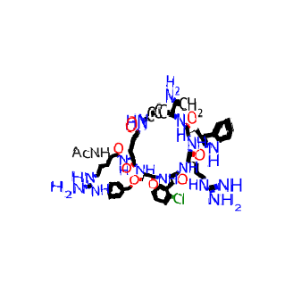 C=C(N)C1CCCNC(=O)CC[C@H](NC(=O)[C@H](CCCNC(=N)N)NC(C)=O)C(=O)N[C@@H](COCc2ccccc2)C(=O)N[C@H](Cc2ccccc2Cl)C(=O)N[C@@H](CCCNC(=N)N)C(=O)N[C@@H](Cc2c[nH]c3ccccc23)C(=O)N1